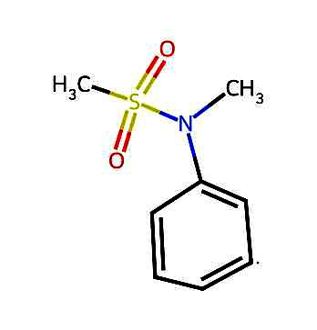 CN(c1c[c]ccc1)S(C)(=O)=O